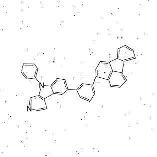 c1ccc(-n2c3ccc(-c4cccc(-c5ccc6c7c(cccc57)-c5ccccc5-6)c4)cc3c3ccncc32)cc1